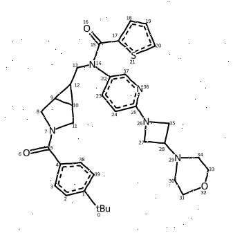 CC(C)(C)c1ccc(C(=O)N2CC3C(C2)C3CN(C(=O)c2cccs2)c2ccc(N3CC(N4CCOCC4)C3)nc2)cc1